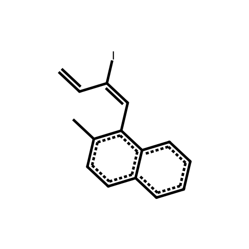 C=C/C(I)=C\c1c(C)ccc2ccccc12